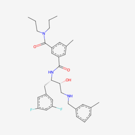 CCCN(CCC)C(=O)c1cc(C)cc(C(=O)N[C@@H](Cc2cc(F)cc(F)c2)[C@H](O)CNCc2cccc(C)c2)c1